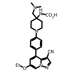 CCOc1cc(-c2ccc(N3CCC(CN(C)C)(NC(=O)O)CC3)cc2)c2c(C#N)cnn2c1